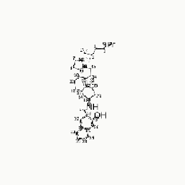 CC(C)CCCC(C)[C@H]1CCC2C3CCC4C[C@H](NCc5cc6ccccc6cc5O)CC[C@]4(C)C3CC[C@@]21C